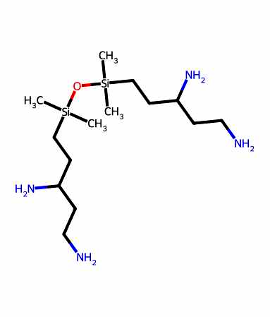 C[Si](C)(CCC(N)CCN)O[Si](C)(C)CCC(N)CCN